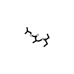 CCC(CC)NCC(C)C(=O)OCC(C)C